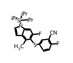 Cc1c(Sc2ccc(F)c(C#N)c2)c(F)cc2c1ccn2[Si](C(C)C)(C(C)C)C(C)C